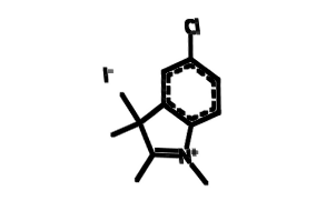 CC1=[N+](C)c2ccc(Cl)cc2C1(C)C.[I-]